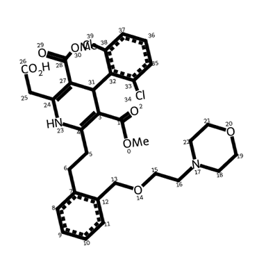 COC(=O)C1=C(CCc2ccccc2COCCN2CCOCC2)NC(CC(=O)O)=C(C(=O)OC)C1c1c(Cl)cccc1Cl